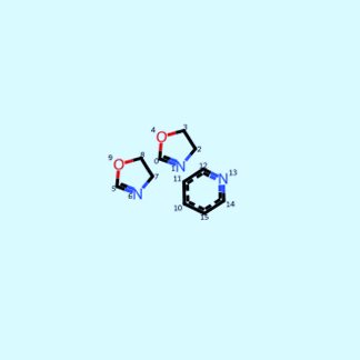 C1=NCCO1.C1=NCCO1.c1ccncc1